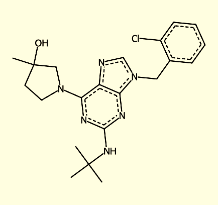 CC1(O)CCN(c2nc(NC(C)(C)C)nc3c2ncn3Cc2ccccc2Cl)C1